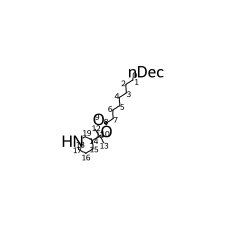 CCCCCCCCCCCCCCCCCC(=O)OC(C)(C)C1CCCNC1